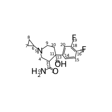 NC(=O)C1CN(C2CC2)CCC1(O)c1ccc(F)c(F)c1